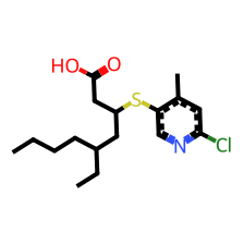 CCCCC(CC)CC(CC(=O)O)Sc1cnc(Cl)cc1C